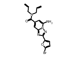 C=CCN(CC=C)C(=O)c1cc(N)n2nc(-c3ccc(Br)o3)nc2c1